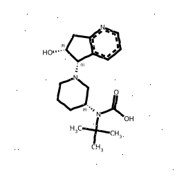 CC(C)(C)N(C(=O)O)[C@@H]1CCCN([C@H]2c3cccnc3C[C@H]2O)C1